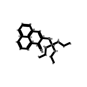 CCO[Si](OCC)(OCC)OC1=Cc2cccc3cccc(c23)C1=O